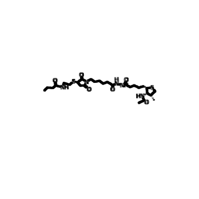 CCCC(=O)NCCS[C@@H]1CC(=O)N(CCCCCC(=O)NNC(=O)CCCC[C@@H]2SC[C@H](C)[C@@H]2NC(C)=O)C1=O